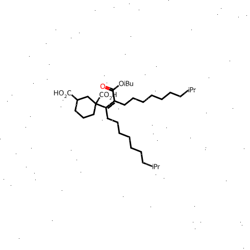 CC(C)CCCCCCCC(C(=O)OCC(C)C)=C(CCCCCCCC(C)C)C1(C(=O)O)CCCC(C(=O)O)C1